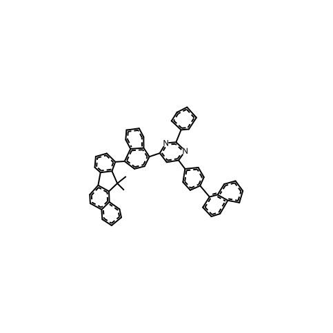 CC1(C)c2c(cccc2-c2ccc(-c3cc(-c4ccc(-c5cccc6ccccc56)cc4)nc(-c4ccccc4)n3)c3ccccc23)-c2ccc3ccccc3c21